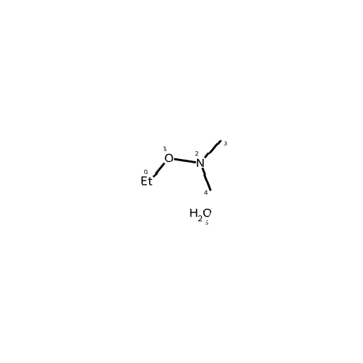 CCON(C)C.O